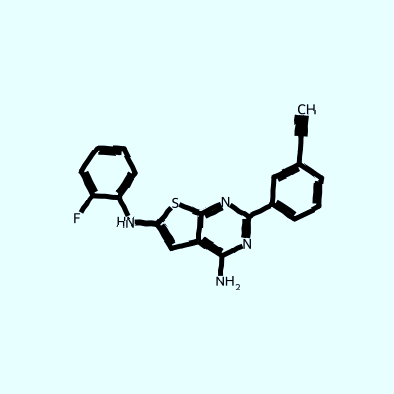 C#Cc1cccc(-c2nc(N)c3cc(Nc4ccccc4F)sc3n2)c1